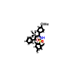 COc1ccc(C(NS(=O)(=O)c2c(C)cc(C)cc2C)/C(=C/c2ccccc2)[Si](C)(C)C)cc1